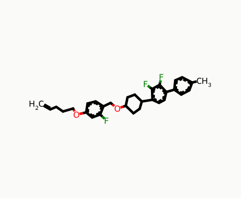 C=CCCCOc1ccc(COC2CCC(c3ccc(-c4ccc(C)cc4)c(F)c3F)CC2)c(F)c1